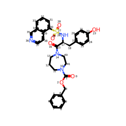 O=C(OCc1ccccc1)N1CCCN(C(=O)[C@H](Cc2ccc(O)cc2)NS(=O)(=O)c2cccc3cnccc23)CC1